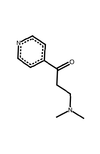 CN(C)CCC(=O)c1ccncc1